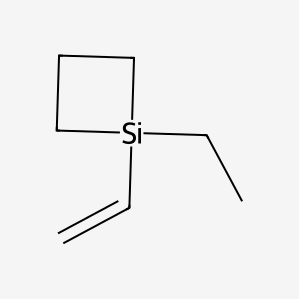 C=C[Si]1(CC)CCC1